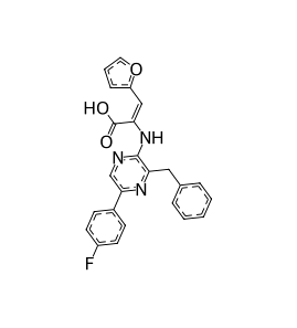 O=C(O)C(=Cc1ccco1)Nc1ncc(-c2ccc(F)cc2)nc1Cc1ccccc1